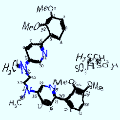 COc1cccc(-c2ccc(N(C)CCN(C)c3ccc(-c4cccc(OC)c4OC)nc3)cn2)c1OC.CS(=O)(=O)O.CS(=O)(=O)O